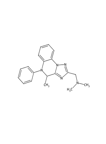 CC1c2nc(CN(C)C)nn2-c2ccccc2N1c1ccccc1